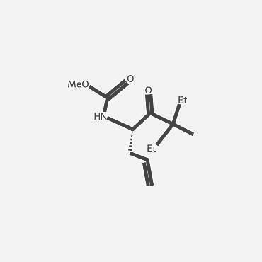 C=CC[C@H](NC(=O)OC)C(=O)C(C)(CC)CC